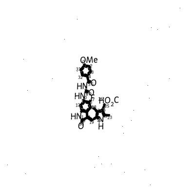 COc1ccc(C(=O)NC(=O)Nc2cc3c(cc2F)C(=Cc2[nH]c(C)c(CC(=O)O)c2C)C(=O)N3)cc1